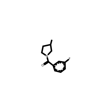 CC1CCN(C(=O)c2cccc(F)c2)C1